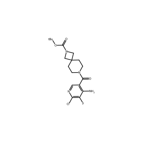 CC(C)(C)OC(=O)N1CC2(CCN(C(=O)c3cnc(Cl)c(F)c3N)CC2)C1